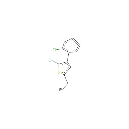 CC(C)[CH]c1cc(-c2ccccc2Cl)c(Cl)s1